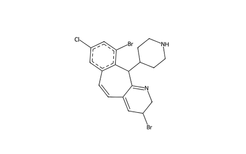 Clc1cc(Br)c2c(c1)C=CC1=CC(Br)CN=C1C2C1CCNCC1